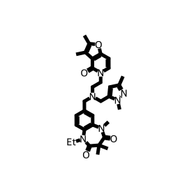 CCN1C(=O)C(C)(C)C(=O)N(C)c2cc(CN(CCn3ccc4oc(C)c(C)c4c3=O)Cc3cc(C)nn3C)ccc21